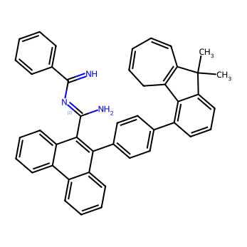 CC1(C)C2=C(CC=CC=C2)c2c(-c3ccc(-c4c(/C(N)=N/C(=N)c5ccccc5)c5ccccc5c5ccccc45)cc3)cccc21